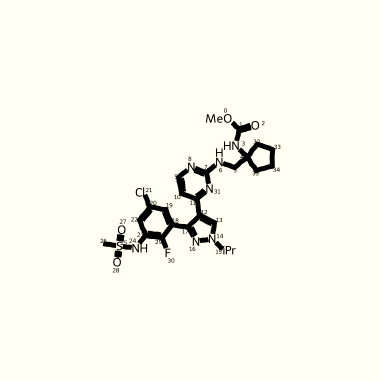 COC(=O)NC1(CNc2nccc(-c3cn(C(C)C)nc3-c3cc(Cl)cc(NS(C)(=O)=O)c3F)n2)CCCC1